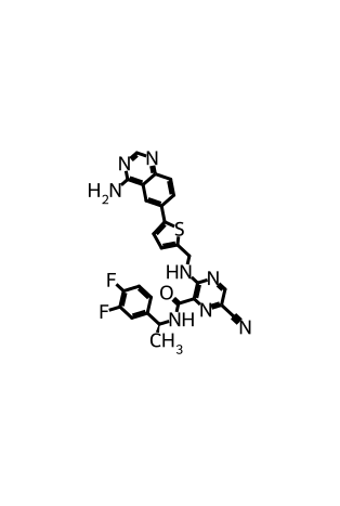 C[C@H](NC(=O)c1nc(C#N)cnc1NCc1ccc(-c2ccc3ncnc(N)c3c2)s1)c1ccc(F)c(F)c1